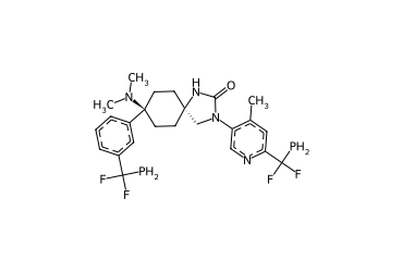 Cc1cc(C(F)(F)P)ncc1N1C[C@]2(CC[C@](c3cccc(C(F)(F)P)c3)(N(C)C)CC2)NC1=O